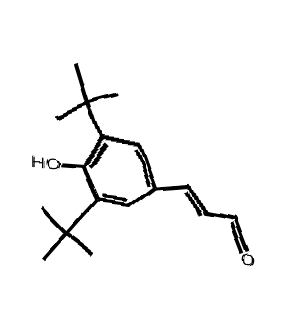 CC(C)(C)c1cc(C=CC=O)cc(C(C)(C)C)c1O